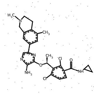 Cc1cc(-c2cnc(N)c(O[C@@H](C)c3c(Cl)ccc(C(=O)NC4CC4)c3Cl)n2)cc2c1CCN(C)C2